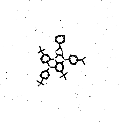 CC(C)c1ccc(N2C3=C(SC(c4ccccc4)S3)B3c4cc(C(C)(C)C)ccc4N(c4ccc(C(C)(C)C)cc4)c4cc(C(C)(C)C)cc2c43)cc1